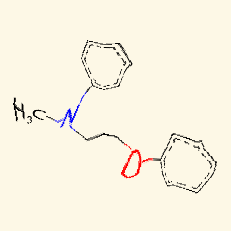 CN(CCOc1ccccc1)c1ccccc1